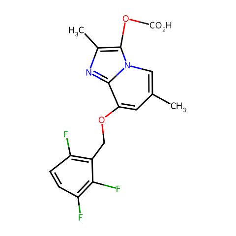 Cc1cc(OCc2c(F)ccc(F)c2F)c2nc(C)c(OC(=O)O)n2c1